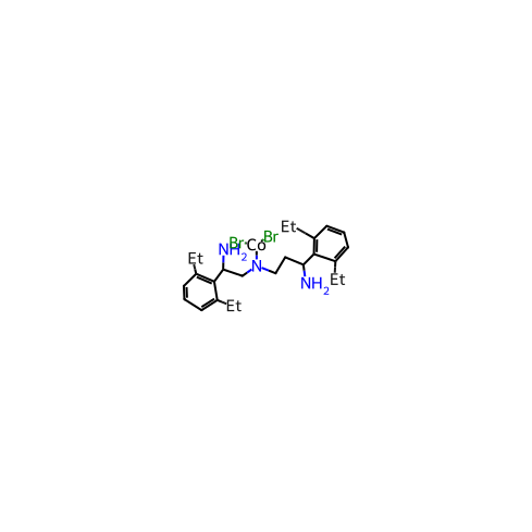 CCc1cccc(CC)c1C(N)CC[N](CC(N)c1c(CC)cccc1CC)[Co]([Br])[Br]